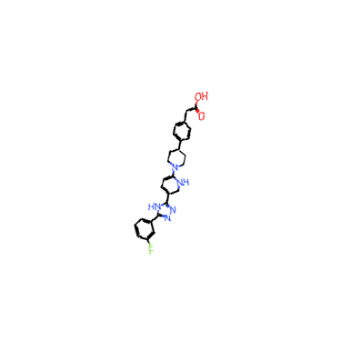 O=C(O)Cc1ccc(C2CCN(C3=CC=C(c4nnc(-c5cccc(F)c5)[nH]4)CN3)CC2)cc1